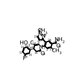 Cc1cc(N2C=C(C(=O)O)[C@H](c3cccc(F)c3)CC2=O)c(-c2ccn(C)n2)cc1C(N)=O